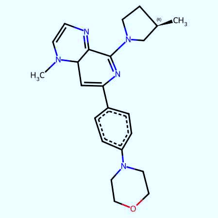 C[C@@H]1CCN(C2=NC(c3ccc(N4CCOCC4)cc3)=CC3C2=NC=CN3C)C1